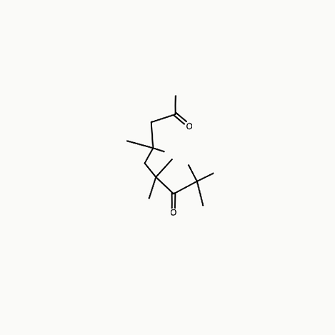 CC(=O)CC(C)(C)CC(C)(C)C(=O)C(C)(C)C